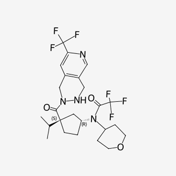 CC(C)[C@]1(C(=O)N2Cc3cc(C(F)(F)F)ncc3CN2)CC[C@@H](N(C(=O)C(F)(F)F)C2CCOCC2)C1